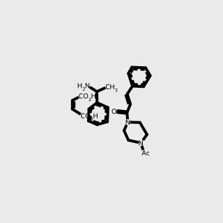 CC(=O)N1CCN(C(=O)C=Cc2ccccc2)CC1.CC(N)c1ccccc1.O=C(O)/C=C\C(=O)O